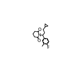 Cc1cc(C(CCC2CC2)N2C(=O)CCCC2=O)ccc1F